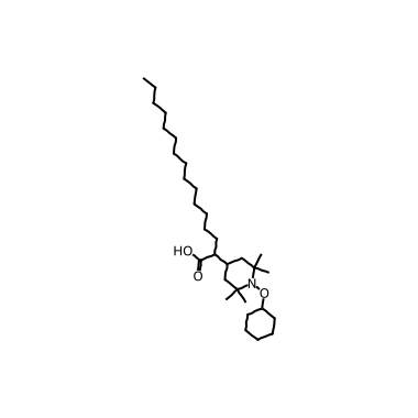 CCCCCCCCCCCCCCC(C(=O)O)C1CC(C)(C)N(OC2CCCCC2)C(C)(C)C1